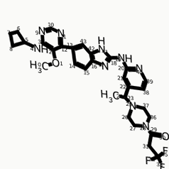 COc1c(NC2CCC2)ncnc1-c1ccc2nc(Nc3cc(C(C)N4CCN(C(=O)CC(F)(F)F)CC4)ccn3)[nH]c2c1